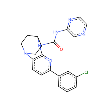 O=C(Nc1cnccn1)N1c2nc(-c3cccc(Cl)c3)ccc2N2CCC1CC2